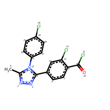 Cc1nnc(-c2ccc(C(=O)Cl)c(Cl)c2)n1-c1ccc(Cl)cc1